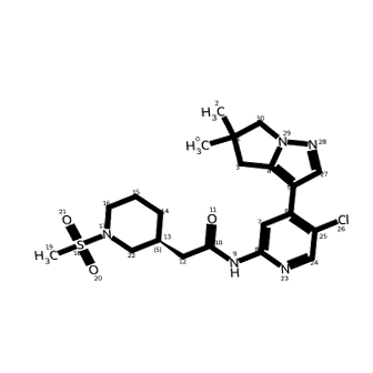 CC1(C)Cc2c(-c3cc(NC(=O)C[C@@H]4CCCN(S(C)(=O)=O)C4)ncc3Cl)cnn2C1